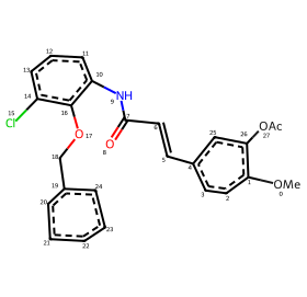 COc1ccc(C=CC(=O)Nc2cccc(Cl)c2OCc2ccccc2)cc1OC(C)=O